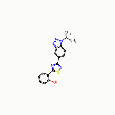 CC(C)n1nnc2cc(-c3nsc(-c4ccccc4O)n3)ccc21